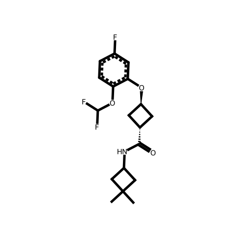 CC1(C)CC(NC(=O)[C@H]2C[C@H](Oc3cc(F)ccc3OC(F)F)C2)C1